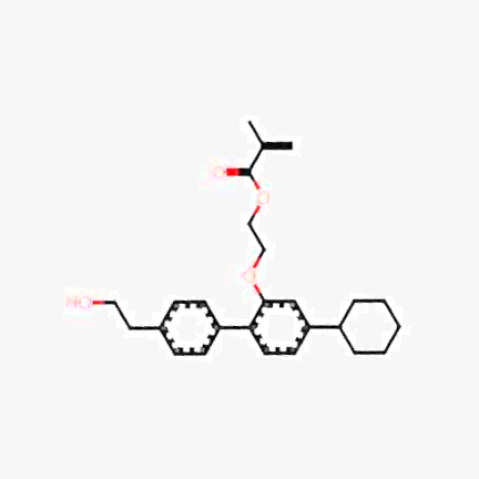 C=C(C)C(=O)OCCOc1cc(C2CCCCC2)ccc1-c1ccc(CCO)cc1